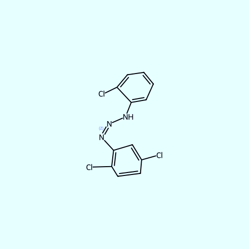 Clc1ccc(Cl)c(/N=N\Nc2ccccc2Cl)c1